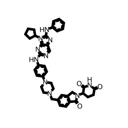 O=C1CCC(N2Cc3cc(CN4CCN(c5ccc(Nc6ncc7nc(Nc8ccccc8)n(C8CCCC8)c7n6)cc5)CC4)ccc3C2=O)C(=O)N1